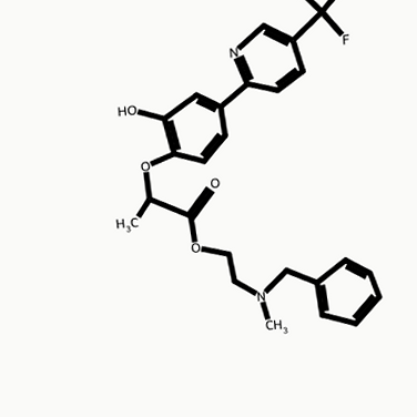 CC(Oc1ccc(-c2ccc(C(F)(F)F)cn2)cc1O)C(=O)OCCN(C)Cc1ccccc1